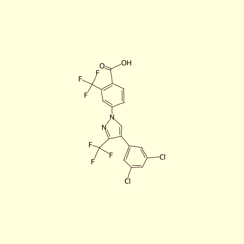 O=C(O)c1ccc(-n2cc(-c3cc(Cl)cc(Cl)c3)c(C(F)(F)F)n2)cc1C(F)(F)F